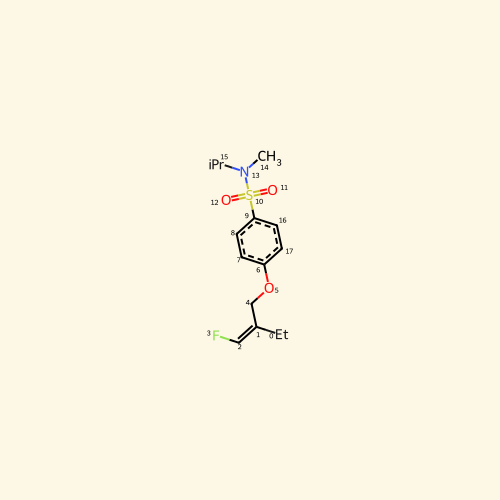 CC/C(=C/F)COc1ccc(S(=O)(=O)N(C)C(C)C)cc1